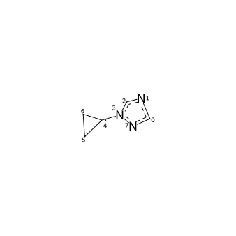 c1ncn([C]2CC2)n1